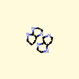 c1cc2nccnc2cn1.c1cnc2nccnc2c1